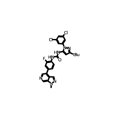 Cn1ncc2c(-c3ccc(NC(=O)Nc4cc(C(C)(C)C)nn4-c4cc(Cl)cc(Cl)c4)c(F)c3)cncc21